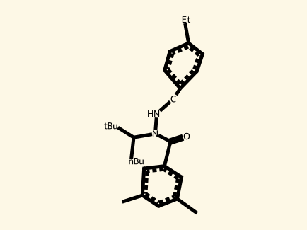 CCCCC(N(NCc1ccc(CC)cc1)C(=O)c1cc(C)cc(C)c1)C(C)(C)C